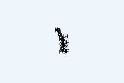 CO[C@@H](C(=O)Nc1nnc(N[C@@H]2CCN(c3cccnn3)C2)s1)c1ccc(F)c(OC(F)(F)F)c1